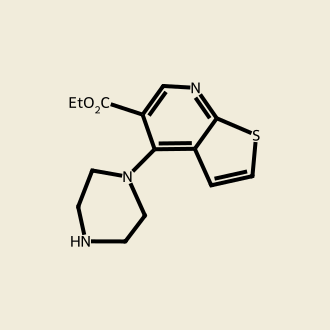 CCOC(=O)c1cnc2sccc2c1N1CCNCC1